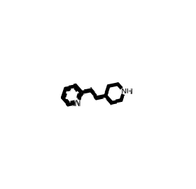 c1ccc(CCC2CCNCC2)nc1